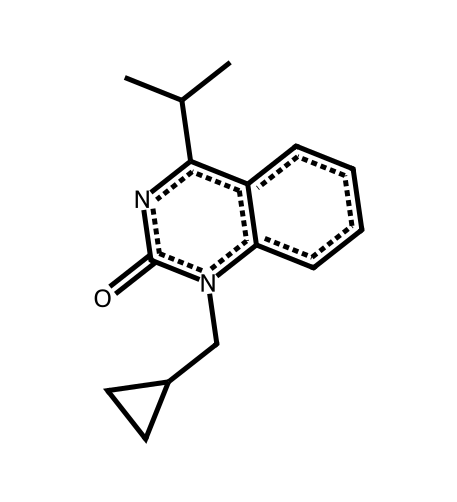 CC(C)c1nc(=O)n(CC2CC2)c2ccccc12